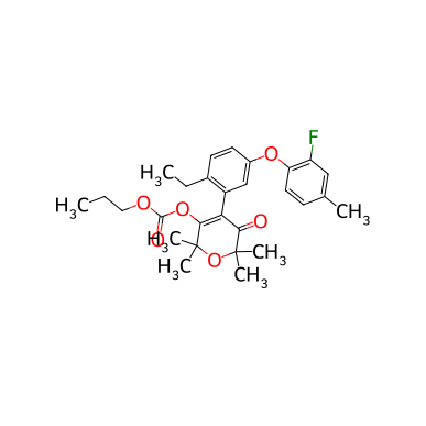 CCCOC(=O)OC1=C(c2cc(Oc3ccc(C)cc3F)ccc2CC)C(=O)C(C)(C)OC1(C)C